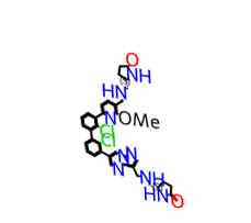 COc1nc(-c2cccc(-c3cccc(-c4cnc5c(CNC[C@@H]6CCC(=O)N6)cnn5c4)c3Cl)c2Cl)ccc1CNC[C@@H]1CCC(=O)N1